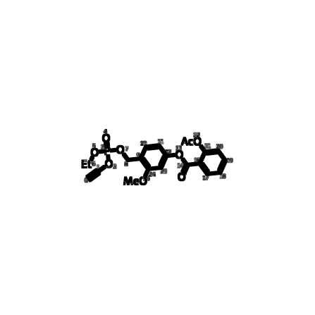 C#COP(=O)(OCC)OCc1ccc(OC(=O)c2ccccc2OC(C)=O)cc1OC